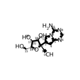 C#C[C@@]1(c2cc3ncnc(N)n3c2)O[C@H](CO)[C@@H](O)[C@H]1O